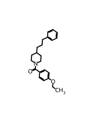 CCOc1ccc(C(=O)N2CCC(CCCc3ccccc3)CC2)cc1